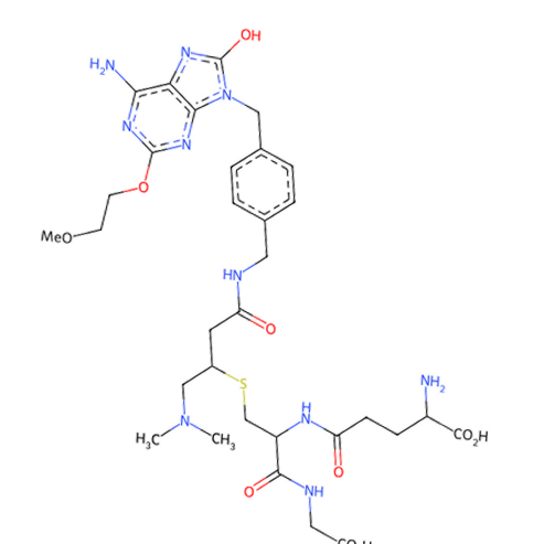 COCCOc1nc(N)c2nc(O)n(Cc3ccc(CNC(=O)CC(CN(C)C)SCC(NC(=O)CCC(N)C(=O)O)C(=O)NCC(=O)O)cc3)c2n1